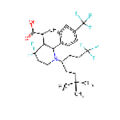 CC(C(=O)O)C1C(c2ccc(C(F)(F)F)cc2)N(C(CCC(C)(C)C)CCC(F)(F)F)CCC1(F)F